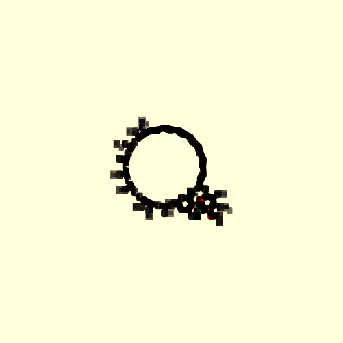 C[C@H]1C[C@H](O)[C@@H](C)/C=C/C=C/C=C/C=C/C=C/C=C/C=C/C(O[C@@H]2OC[C@@H](O)[C@H](N)[C@@H]2O)C[C@@H]2OC(O)(CC(O)CC(O)C(O)CCC(O)CC(O)CC(=O)O1)C[C@H](O)[C@H]2C(=O)NCCO